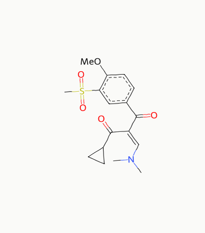 COc1ccc(C(=O)C(=CN(C)C)C(=O)C2CC2)cc1S(C)(=O)=O